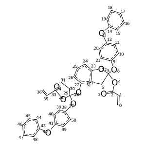 C=CC(=O)OC(CC)(Oc1ccc(Oc2ccccc2)cc1)Oc1cccc(OC(CC)(OC(=O)C=C)Oc2ccc(Oc3ccccc3)cc2)c1